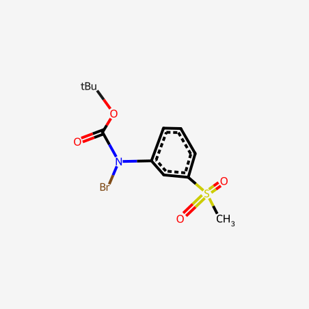 CC(C)(C)OC(=O)N(Br)c1cccc(S(C)(=O)=O)c1